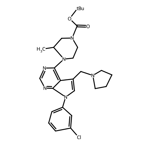 CC1CN(C(=O)OC(C)(C)C)CCN1c1ncnc2c1c(CN1CCCC1)cn2-c1cccc(Cl)c1